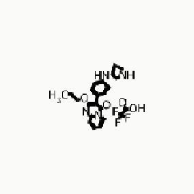 CCCOc1nc2ccccn2c(=O)c1-c1ccc(N[C@@H]2CCNC2)cc1.O=C(O)C(F)(F)F